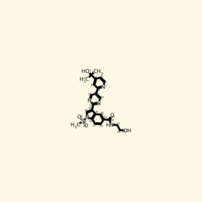 CC(C)(O)c1ccnc(-c2cnc(-c3cn(S(C)(=O)=O)c4ccc(C(=O)NCCO)cc34)nc2)c1